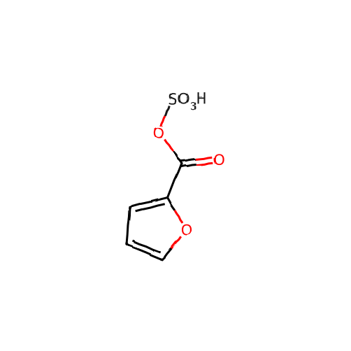 O=C(OS(=O)(=O)O)c1ccco1